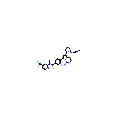 CC#CCN1CCCC1c1cc(-c2ccc(C(=O)Nc3cc(C(F)(F)F)ccn3)cc2)n2c(N)nccc12